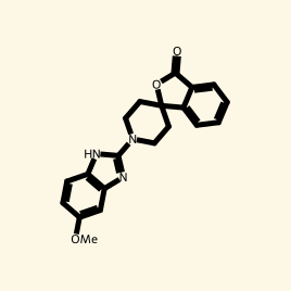 COc1ccc2[nH]c(N3CCC4(CC3)OC(=O)c3ccccc34)nc2c1